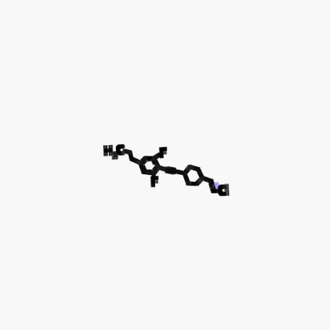 CCCc1cc(F)c(C#CC2CCC(/C=C/Cl)CC2)c(F)c1